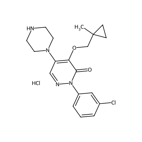 CC1(COc2c(N3CCNCC3)cnn(-c3cccc(Cl)c3)c2=O)CC1.Cl